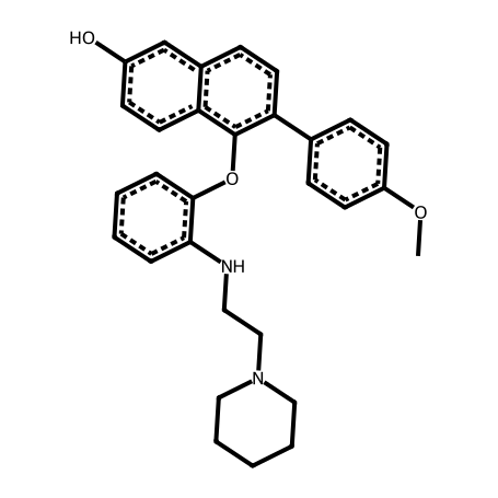 COc1ccc(-c2ccc3cc(O)ccc3c2Oc2ccccc2NCCN2CCCCC2)cc1